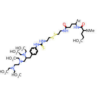 CNC(CCC(=O)O)C(=O)NC(CCC(=O)NCCSSCCNC(=S)Nc1ccc(CC(CN(CCN(CC(=O)O)CC(=O)O)CC(=O)O)N(CC(=O)O)CC(=O)O)cc1)C(C)=O